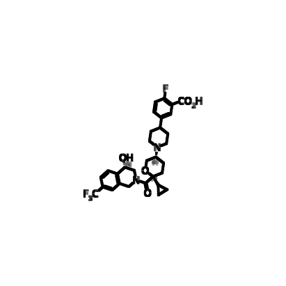 O=C(O)c1cc(C2CCN([C@@H]3CC[C@@](C(=O)N4Cc5cc(C(F)(F)F)ccc5[C@H](O)C4)(C4CC4)OC3)CC2)ccc1F